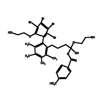 Cc1c(C)c(C)c(-c2c(Br)c(Br)c(Br)c(Br)c2OCCO)c(CCCC(O)(OCCO)OC(=O)c2ccc(C(=O)O)cc2)c1C